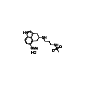 COc1ccc2[nH]cc3c2c1CC(NCCCNS(C)(=O)=O)C3.Cl